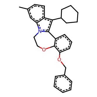 Cc1ccc2c(C3CCCCC3)c3n(c2c1)CCOc1c(OCc2ccccc2)cccc1-3